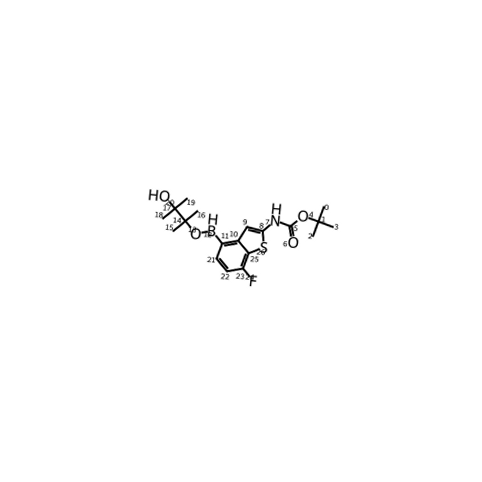 CC(C)(C)OC(=O)Nc1cc2c(BOC(C)(C)C(C)(C)O)ccc(F)c2s1